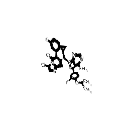 CC(C)Oc1ccc(-c2nn([C@H](c3cc4scc(Cl)n4c(=O)c3-c3cccc(F)c3)C3CC3)c3ncnc(N)c23)cc1F